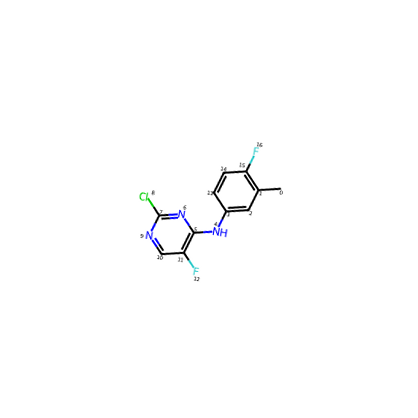 Cc1cc(Nc2nc(Cl)ncc2F)ccc1F